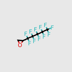 FC(F)(F)C(F)(F)C(F)(F)C(F)(F)C(F)(F)C1CO1